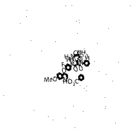 COc1ccc2c(Oc3ccc(NC(=O)c4c(C)n(C[C@@H](C)[C@](C)(N)C(=O)O)n(-c5ccccc5)c4=O)cc3F)ccnc2c1.O=C(O)c1ccccc1